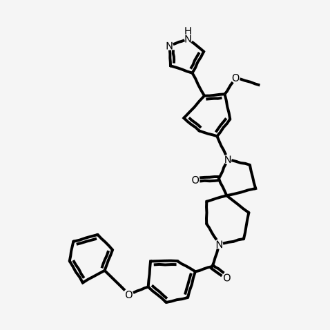 COc1cc(N2CCC3(CCN(C(=O)c4ccc(Oc5ccccc5)cc4)CC3)C2=O)ccc1-c1cn[nH]c1